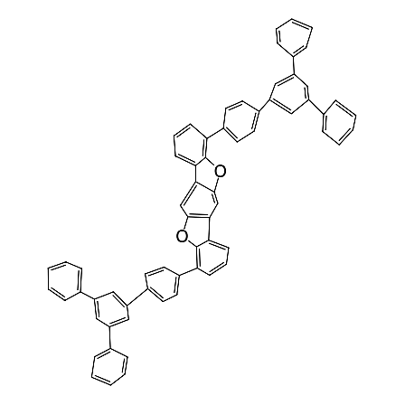 c1ccc(-c2cc(-c3ccccc3)cc(-c3ccc(-c4cccc5c4oc4cc6c(cc45)oc4c(-c5ccc(-c7cc(-c8ccccc8)cc(-c8ccccc8)c7)cc5)cccc46)cc3)c2)cc1